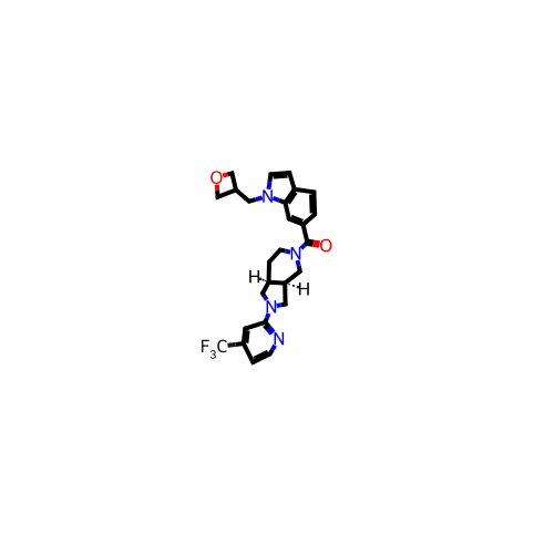 O=C(c1ccc2ccn(CC3COC3)c2c1)N1CC[C@@H]2CN(c3cc(C(F)(F)F)ccn3)C[C@@H]2C1